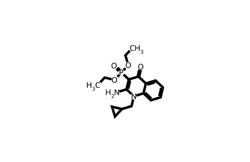 CCOP(=O)(OCC)c1c(N)n(CC2CC2)c2ccccc2c1=O